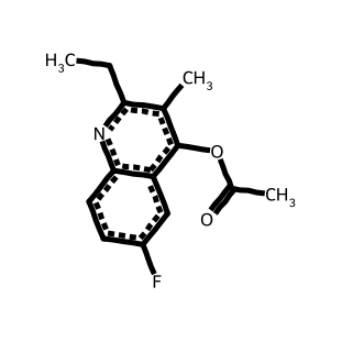 CCc1nc2ccc(F)cc2c(OC(C)=O)c1C